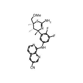 COC[C@@]1(C)SC(N)=N[C@](C)(c2cc(Nc3nccc4cc(C#N)cnc34)cc(F)c2F)[C@@H]1C